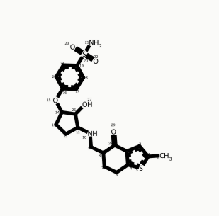 Cc1cc2c(s1)CCC(CNC1CCC(Oc3ccc(S(N)(=O)=O)cc3)C1O)C2=O